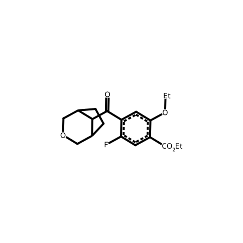 CCOC(=O)c1cc(F)c(C(=O)C2C3CCC2COC3)cc1OCC